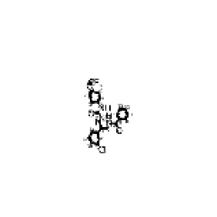 O=C(NN=C(CNC(=O)c1ccccc1)c1cccc(Cl)c1)Nc1ccc(OC(F)(F)F)cc1